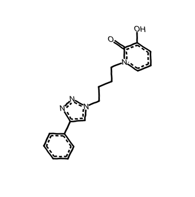 O=c1c(O)cccn1CCCCn1cc(-c2ccccc2)nn1